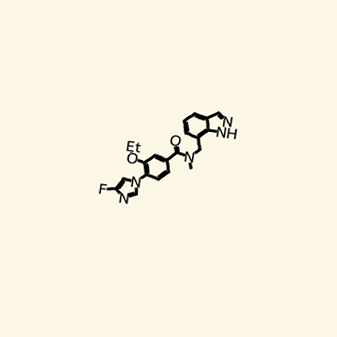 CCOc1cc(C(=O)N(C)Cc2cccc3cn[nH]c23)ccc1-n1cnc(F)c1